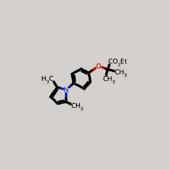 CCOC(=O)C(C)(C)Oc1ccc(-n2c(C)ccc2C)cc1